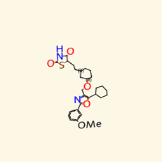 COc1cccc(-c2nc(CO[C@@H]3CCC[C@H](CCC4SC(=O)NC4=O)C3)c(C3CCCCC3)o2)c1